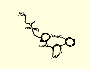 COc1ccccc1-c1cc(Nc2cccc(CS(=O)(=O)N(C)CCO)c2)ncn1